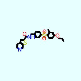 CCCOc1ccc(S(=O)(=O)c2ccc(CNC(=O)c3cc4ccncc4s3)cc2)c(C)c1